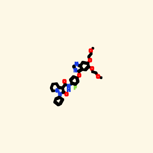 COCCOc1cc2ncnc(Oc3ccc(NC(=O)c4c5n(n(-c6ccccc6)c4=O)CCCC5)c(F)c3)c2cc1OCCOC